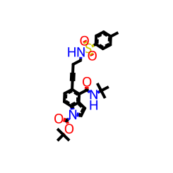 Cc1ccc(S(=O)(=O)NCCC#Cc2ccc3c(ccn3C(=O)OC(C)(C)C)c2C(=O)NC(C)(C)C)cc1